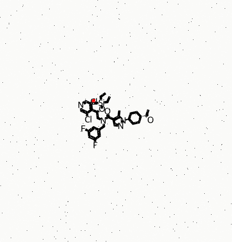 CC[Si](CC)(CC)OC(CN(Cc1cc(F)cc(F)c1)C(=O)c1cnn([C@H]2CC[C@H](C(C)=O)CC2)c1C)c1c(Cl)cncc1Cl